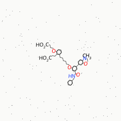 CN1CCOc2cc(-c3cc(OCCCCCCc4cccc(OCCCC(=O)O)c4CCC(=O)O)cc(C(=O)NCc4ccccc4)c3)ccc21